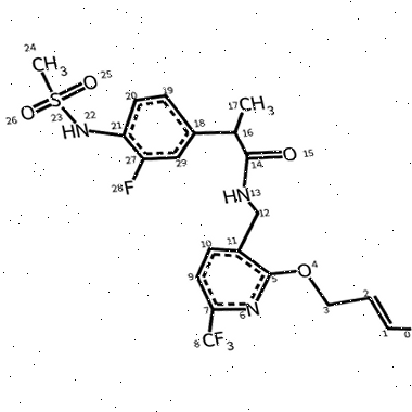 CC=CCOc1nc(C(F)(F)F)ccc1CNC(=O)C(C)c1ccc(NS(C)(=O)=O)c(F)c1